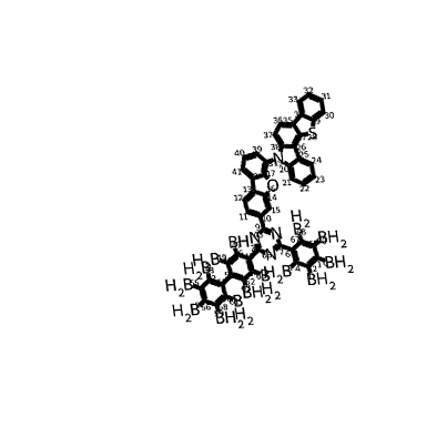 Bc1c(B)c(B)c(-c2nc(-c3ccc4c(c3)oc3c(-n5c6ccccc6c6c7sc8ccccc8c7ccc65)cccc34)nc(-c3c(B)c(B)c(-c4c(B)c(B)c(B)c(B)c4B)c(B)c3B)n2)c(B)c1B